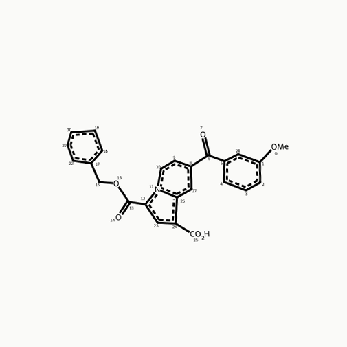 COc1cccc(C(=O)c2ccn3c(C(=O)OCc4ccccc4)cc(C(=O)O)c3c2)c1